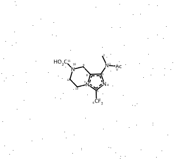 CC(=O)N(C)c1nc(C(F)(F)F)n2c1CN(C(=O)O)CC2